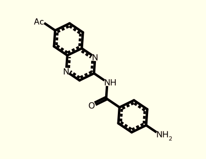 CC(=O)c1ccc2nc(NC(=O)c3ccc(N)cc3)cnc2c1